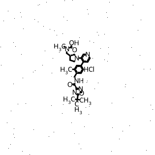 Cc1cc(-c2ccncc2N2CCC(CN(C)C(=O)O)C2)ccc1CNC(=O)c1noc(C(C)(C)C)n1.Cl